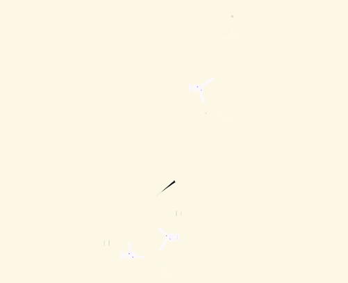 CCCOCCNC(=O)CCCC[C@@H]1SC[C@@H]2NC(=O)N[C@@H]21